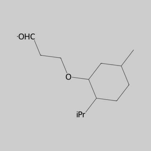 CC1CCC(C(C)C)C(OCC[C]=O)C1